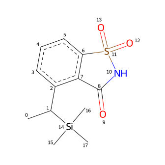 CC(c1cccc2c1C(=O)NS2(=O)=O)[Si](C)(C)C